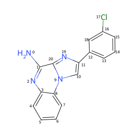 Nc1nc2ccccc2n2cc(-c3cccc(Cl)c3)nc12